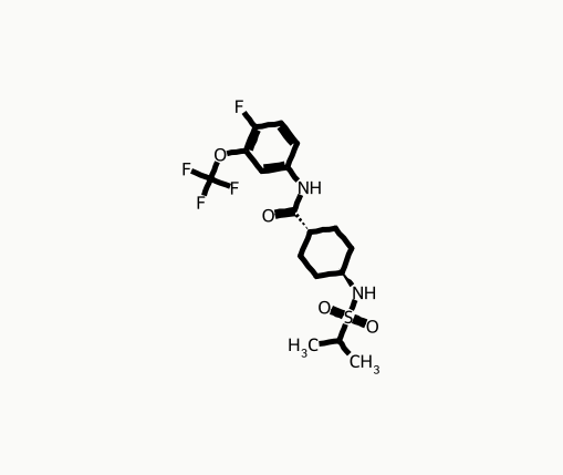 CC(C)S(=O)(=O)N[C@H]1CC[C@H](C(=O)Nc2ccc(F)c(OC(F)(F)F)c2)CC1